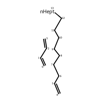 C=CC=C.C=CCCCCCCCCCCCCCC